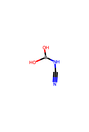 N#CNB(O)O